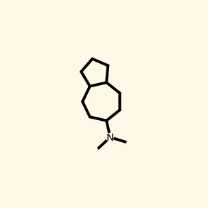 CN(C)C1CCC2CCCC2CC1